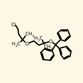 CC(C)(CCCl)OCCC(C)(C)OC(c1ccccc1)(c1ccccc1)c1ccccc1